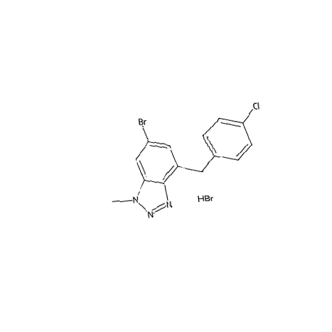 Br.Cn1nnc2c(Cc3ccc(Cl)cc3)cc(Br)cc21